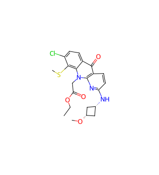 CCOC(=O)Cn1c2nc(N[C@H]3C[C@@H](OC)C3)ccc2c(=O)c2ccc(Cl)c(SC)c21